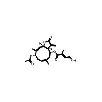 C=C1C(=O)O[C@@H]2/C=C(/C)[C@@H](OC(C)=O)C/C=C(/C)C[C@@H](OC(=O)/C(C)=C/CO)[C@@H]12